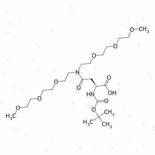 COCCOCCOCCN(CCOCCOCCOC)C(=O)C[C@H](NC(=O)OC(C)(C)C)C(=O)O